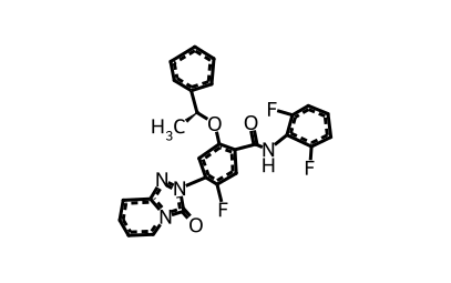 C[C@H](Oc1cc(-n2nc3ccccn3c2=O)c(F)cc1C(=O)Nc1c(F)cccc1F)c1ccccc1